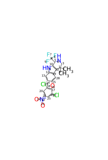 CC1(C)CNC(C(F)(F)F)c2[nH]c3ccc(Oc4c(Cl)cc([N+](=O)[O-])cc4Cl)cc3c21